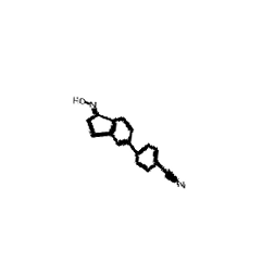 N#Cc1ccc(-c2ccc3c(c2)CCC3=NO)cc1